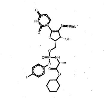 C[C@H](NP(=O)(OC[C@H]1OC(n2ccc(=O)[nH]c2=O)=C(N=[N+]=[N-])[C@@H]1O)Oc1ccc(F)cc1)C(=O)OC1CCCCC1